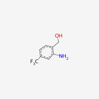 Nc1cc(C(F)(F)F)ccc1CO